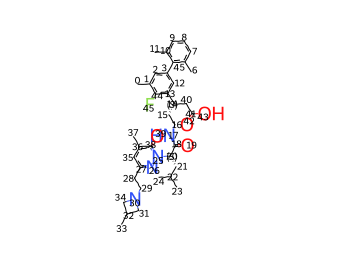 Cc1cc(-c2c(C)cccc2C)cc([C@@H](CCNC(=O)[C@H](CC(C)C)n2nc(CCN3CC(C)C3)cc(C)c2=O)CC(=O)O)c1F